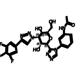 CC(=O)Nc1cccc(-n2cnnc2[C@@H]2O[C@H](CO)[C@H](O)[C@H](n3cc(-c4cc(F)c(F)c(F)c4)nn3)[C@H]2O)c1